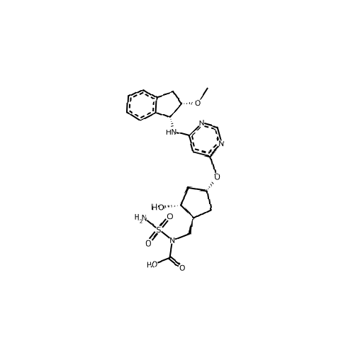 CO[C@H]1Cc2ccccc2[C@H]1Nc1cc(O[C@@H]2C[C@@H](CN(C(=O)O)S(N)(=O)=O)[C@H](O)C2)ncn1